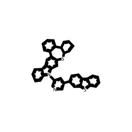 C1=CC2Sc3cc4c(cc3-c3ccccc3C2C=C1)c1ccccc1n4-c1cncc(-c2ccc3c(c2)sc2ccccc23)c1